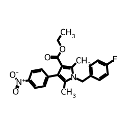 CCOC(=O)c1c(-c2ccc([N+](=O)[O-])cc2)c(C)n(Cc2ccc(F)cc2)c1C